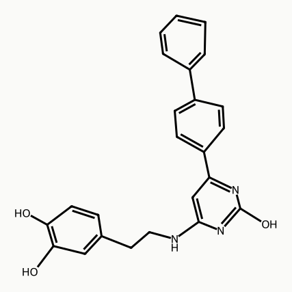 Oc1nc(NCCc2ccc(O)c(O)c2)cc(-c2ccc(-c3ccccc3)cc2)n1